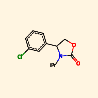 CC(C)N1C(=O)OCC1c1cccc(Cl)c1